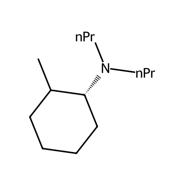 CCCN(CCC)[C@@H]1CCCCC1C